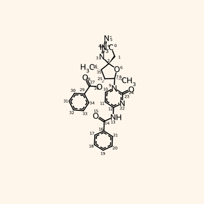 CC[C@@]1(N=[N+]=[N-])O[C@@](C)(n2ccc(NC(=O)c3ccccc3)nc2=O)[C@H](OC(=O)c2ccccc2)[C@@H]1C